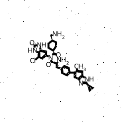 Cc1cc2[nH]c(C3CC3)nc2cc1-c1ccc(C[C@H](N)C(=O)N(c2cc(Cl)c3[nH]c(=O)[nH]c3c2)C(=O)[C@H]2CC[C@H](CN)CC2)cc1